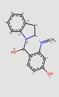 C=Nc1cc(O)ccc1C(O)N1CCc2ccccc21